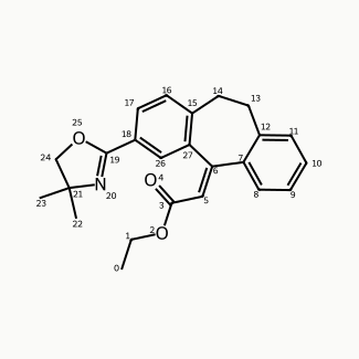 CCOC(=O)/C=C1/c2ccccc2CCc2ccc(C3=NC(C)(C)CO3)cc21